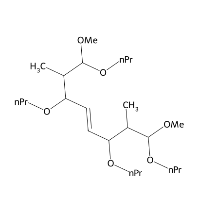 CCCOC(C=CC(OCCC)C(C)C(OC)OCCC)C(C)C(OC)OCCC